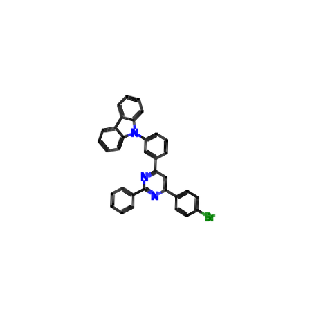 Brc1ccc(-c2cc(-c3cccc(-n4c5ccccc5c5ccccc54)c3)nc(-c3ccccc3)n2)cc1